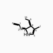 C=C/N=C1/NC=C(C)/C1=C/C